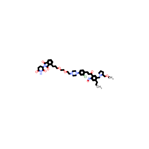 CCCc1cc(N=O)c(C(=O)/C=C/c2ccc(N3CCN(CCOCCOCCCc4cccc5c4C(=O)N(C4CCC(=O)NC4=O)C5=O)CC3)cc2Cl)cc1CN1CCCC1COC